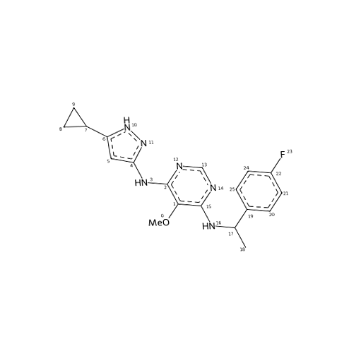 COc1c(Nc2cc(C3CC3)[nH]n2)ncnc1NC(C)c1ccc(F)cc1